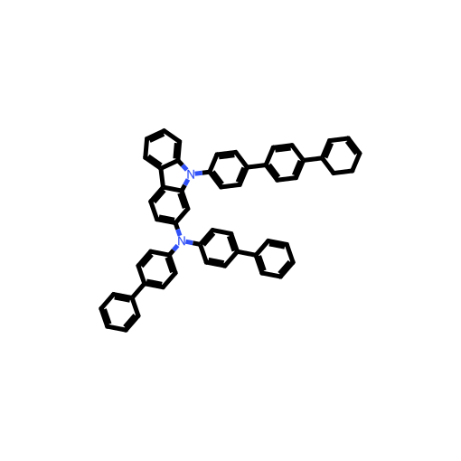 C1=CCCC(c2ccc(-c3ccc(-n4c5ccccc5c5ccc(N(c6ccc(-c7ccccc7)cc6)c6ccc(-c7ccccc7)cc6)cc54)cc3)cc2)=C1